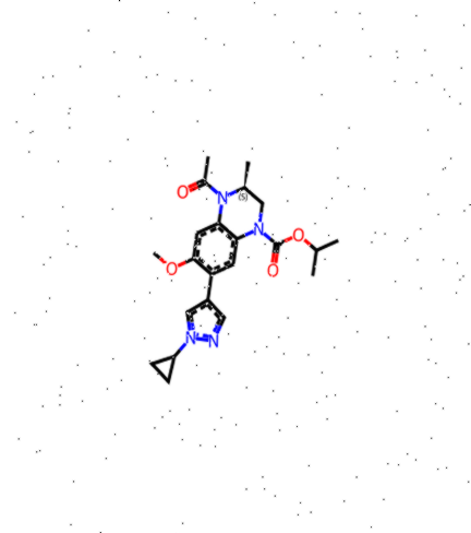 COc1cc2c(cc1-c1cnn(C3CC3)c1)N(C(=O)OC(C)C)C[C@H](C)N2C(C)=O